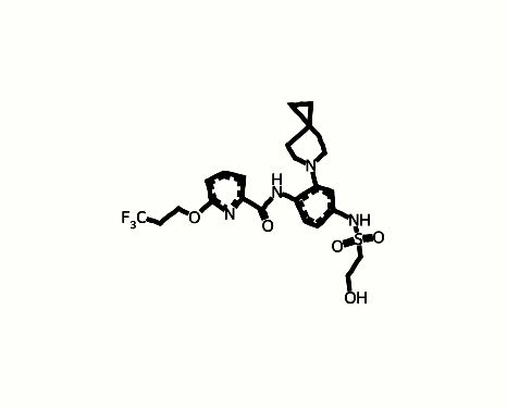 O=C(Nc1ccc(NS(=O)(=O)CCO)cc1N1CCC2(CC1)CC2)c1cccc(OCCC(F)(F)F)n1